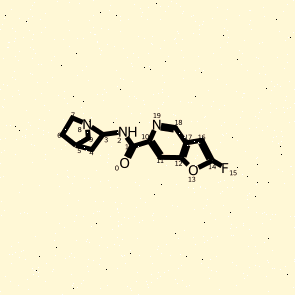 O=C(NC1CC2CCN1C2)c1cc2oc(F)cc2cn1